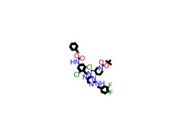 CC(C)(C)OC(=O)N1CCC[C@@H](Cn2c(-c3c(Cl)cc(NC(=O)OCc4ccccc4)cc3Cl)nc3cnc(NCc4ccc(F)c(F)c4)nc32)C1